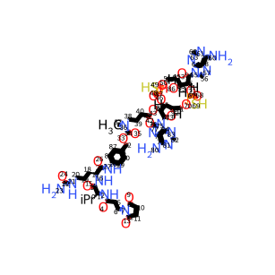 CC(C)[C@H](NC(=O)CCN1C(=O)C=CC1=O)C(=O)N[C@@H](CCCNC(N)=O)C(=O)Nc1ccc(COC(=O)N(C)CCCC(=O)O[C@@H]2[C@@H]3O[P@](=O)(S)OC[C@H]4O[C@@H](n5cnc6c(N)ncnc65)[C@H](O[P@](=O)(S)OC[C@H]3O[C@H]2n2cnc3c(N)ncnc32)[C@@H]4O)cc1